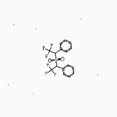 O=S(=O)(C(c1ccccc1)C(F)(F)F)C(c1ccccc1)C(F)(F)F